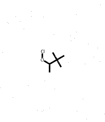 CC(OCl)C(C)(C)C